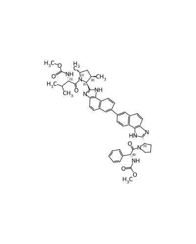 COC(=O)N[C@H](C(=O)N1[C@H](c2nc3ccc4cc(-c5ccc6c(ccc7nc([C@@H]8CCCN8C(=O)[C@H](NC(=O)OC)c8ccccc8)[nH]c76)c5)ccc4c3[nH]2)[C@H](C)C[C@@H]1C)C(C)C